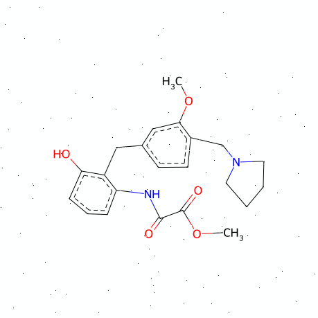 COC(=O)C(=O)Nc1cccc(O)c1Cc1ccc(CN2CCCC2)c(OC)c1